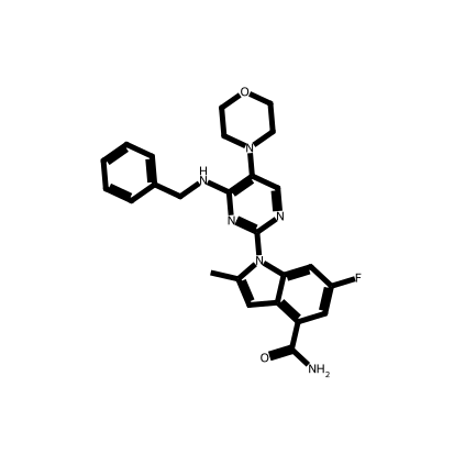 Cc1cc2c(C(N)=O)cc(F)cc2n1-c1ncc(N2CCOCC2)c(NCc2ccccc2)n1